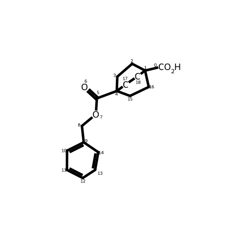 O=C(O)C12CCC(C(=O)OCc3ccccc3)(CC1)CC2